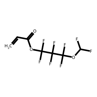 C=CC(=O)OC(F)(F)C(F)(F)C(F)(F)OC(F)F